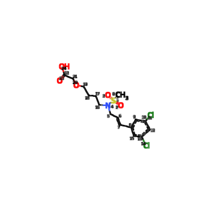 CS(=O)(=O)N(CC=Cc1cc(Cl)cc(Cl)c1)CCCCOCC(=O)O